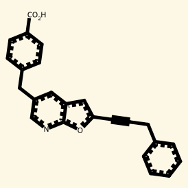 O=C(O)c1ccc(Cc2cnc3oc(C#CCc4ccccc4)cc3c2)cc1